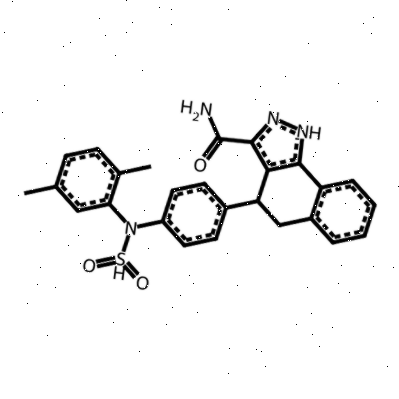 Cc1ccc(C)c(N(c2ccc(C3Cc4ccccc4-c4[nH]nc(C(N)=O)c43)cc2)[SH](=O)=O)c1